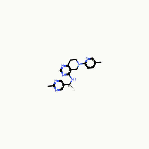 Cc1ccc(N2CCc3ncnc(N[C@H](C)c4cnc(C)nc4)c3C2)nc1